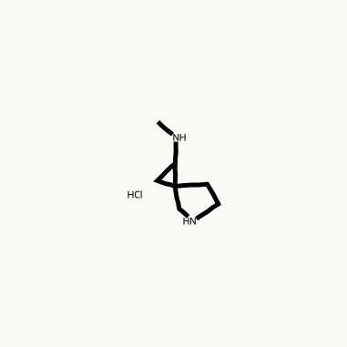 CNC1CC12CCNC2.Cl